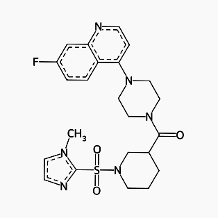 Cn1ccnc1S(=O)(=O)N1CCCC(C(=O)N2CCN(c3ccnc4cc(F)ccc34)CC2)C1